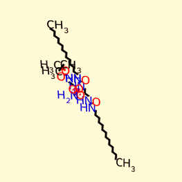 CCCCCCCCCCCCCCCNC(=O)NCC(CNC(=O)NCCCCCCCCCCCCCCC)OP(N)(=O)OCCNC(=O)OC(C)(C)C